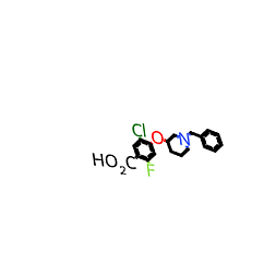 O=C(O)c1cc(Cl)c(OC2CCCN(Cc3ccccc3)C2)cc1F